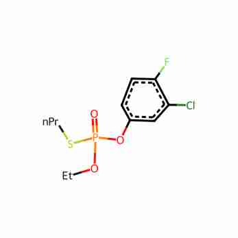 CCCSP(=O)(OCC)Oc1ccc(F)c(Cl)c1